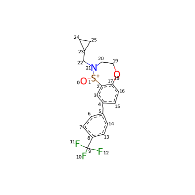 [O-][S+]1c2cc(-c3ccc(C(F)(F)F)cc3)ccc2OCCN1CC1CC1